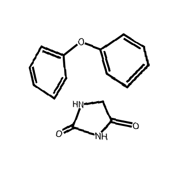 O=C1CNC(=O)N1.c1ccc(Oc2ccccc2)cc1